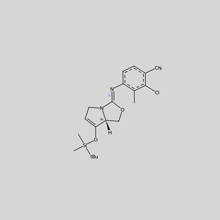 Cc1c(/N=C2\OC[C@@H]3C(O[Si](C)(C)C(C)(C)C)=CCN23)ccc(C#N)c1Cl